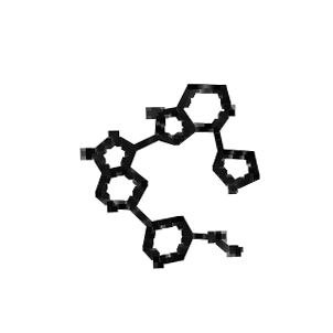 CC(C)Nc1cncc(-c2cc3c(-c4cc5c(-c6ccsc6)nccc5[nH]4)n[nH]c3cn2)c1